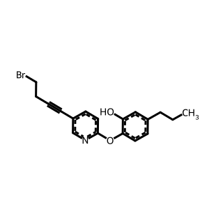 CCCc1ccc(Oc2ccc(C#CCCBr)cn2)c(O)c1